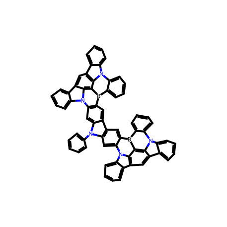 c1ccc(-n2c3cc4c(cc3c3cc5c(cc32)-n2c3ccccc3c3cc6c7ccccc7n7c6c(c32)B5c2ccccc2-7)B2c3ccccc3-n3c5ccccc5c5cc6c7ccccc7n-4c6c2c53)cc1